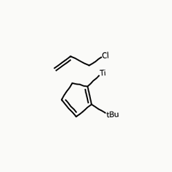 C=CCCl.CC(C)(C)C1=[C]([Ti])CC=C1